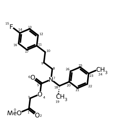 COC(=O)COC(=O)N(CCCc1ccc(F)cc1)[C@@H](C)c1ccc(C)cc1